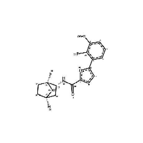 COc1cccc(-c2ccc(C(=O)N[C@@H]3C[C@H]4CC[C@@H]3N4)o2)c1F